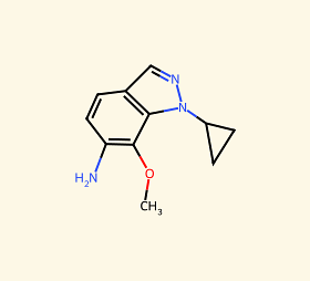 COc1c(N)ccc2cnn(C3CC3)c12